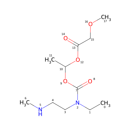 CCN(CCNC)C(=O)OC(C)OC(=O)COC